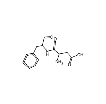 NC(CC(=O)O)C(=O)NC(C=O)Cc1ccccc1